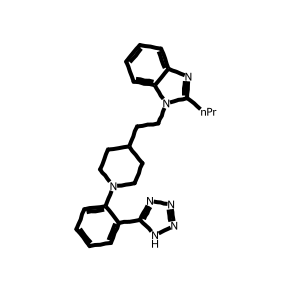 CCCc1nc2ccccc2n1CCC1CCN(c2ccccc2-c2nnn[nH]2)CC1